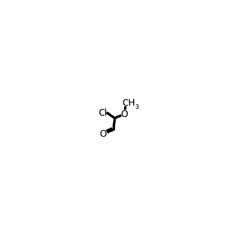 COC(Cl)C=O